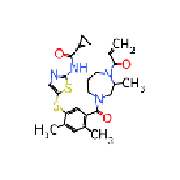 C=CC(=O)N1CCCN(C(=O)c2cc(Sc3cnc(NC(=O)C4CC4)s3)c(C)cc2C)CC1C